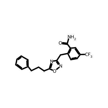 NC(=O)c1cc(C(F)(F)F)ccc1Cc1noc([CH]CCc2ccccc2)n1